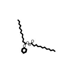 CCCCCCCCCCCC(=O)OOC(=O)CCCCCCCCCCC.c1ccccc1